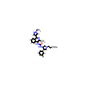 COCCN1C[C@@H](NC(=O)Nc2c(C)nc(-c3cnn(C)c3)c3ccccc23)[C@H](c2cccc(F)c2)C1